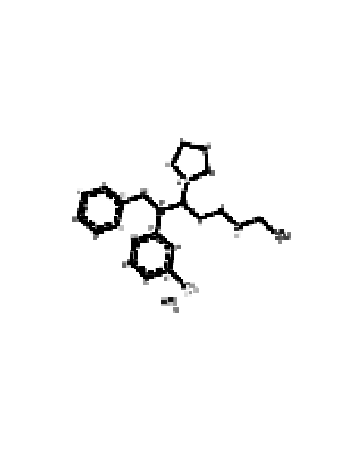 CC(C)(C)COCCC(N1CCCC1)N(Cc1ccccc1)c1cccc(C(F)(F)F)c1.Cl